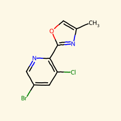 Cc1coc(-c2ncc(Br)cc2Cl)n1